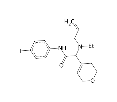 C=CCN(CC)C(C(=O)Nc1ccc(I)cc1)C1=CCOCC1